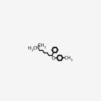 Cc1ccc(OC(CCCCCN(C)C)c2ccccc2)cc1